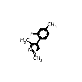 Cc1ccc(-c2cn(C)nc2C)c(F)c1